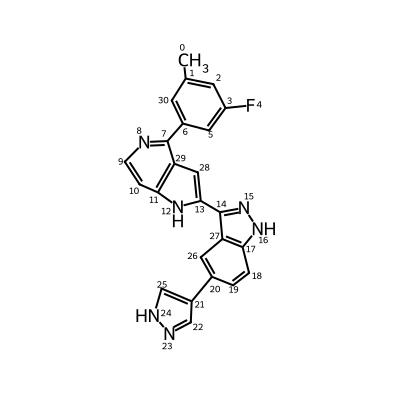 Cc1cc(F)cc(-c2nccc3[nH]c(-c4n[nH]c5ccc(-c6cn[nH]c6)cc45)cc23)c1